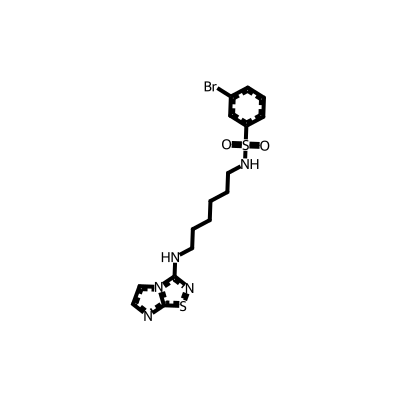 O=S(=O)(NCCCCCCNc1nsc2nccn12)c1cccc(Br)c1